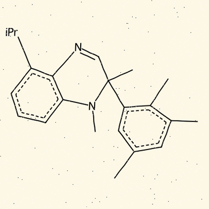 Cc1cc(C)c(C)c(C2(C)C=Nc3c(C(C)C)cccc3N2C)c1